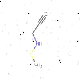 C#CCNSC